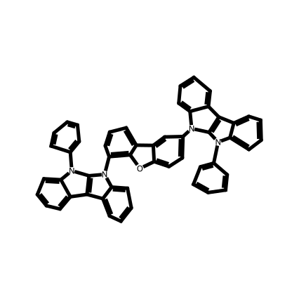 c1ccc(-n2c3ccccc3c3c4ccccc4n(-c4ccc5oc6c(-n7c8ccccc8c8c9ccccc9n(-c9ccccc9)c87)cccc6c5c4)c32)cc1